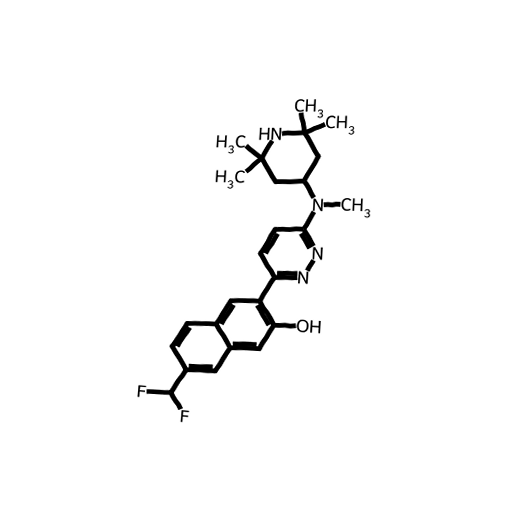 CN(c1ccc(-c2cc3ccc(C(F)F)cc3cc2O)nn1)C1CC(C)(C)NC(C)(C)C1